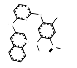 COc1cc(Nc2nccc(Nc3cnc4ccccc4c3)n2)c(C)cc1[N+](=O)[O-]